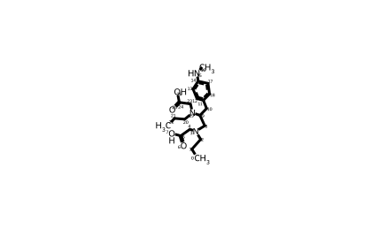 CCCN(CC(=O)O)CC(Cc1ccc(NC)cc1)N(CCC)CC(=O)O